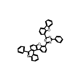 c1ccc(-c2nc(-c3cccc4c3oc3ccccc34)nc(-c3cccc4c3oc3ccc5c(-c6ccccc6)nc6ccccc6c5c34)n2)cc1